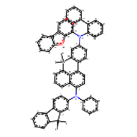 CC1(C)c2ccccc2-c2ccc(N(c3ccccc3)c3ccc4c5c(cccc35)[Si](C)(C)c3cc(N(c5ccccc5-c5ccccc5)c5cccc6c5oc5ccccc56)ccc3-4)cc21